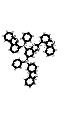 c1ccc(N(c2cc(N(c3ccccc3)c3cccc4c3sc3ccccc34)c3oc(-c4cccc5oc6ccccc6c45)nc3c2)c2ccc3oc4ccccc4c3c2)cc1